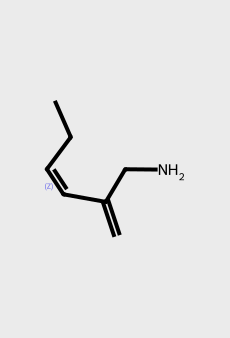 C=C(/C=C\CC)CN